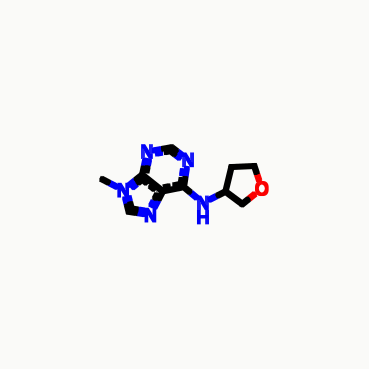 Cn1cnc2c(NC3CCOC3)ncnc21